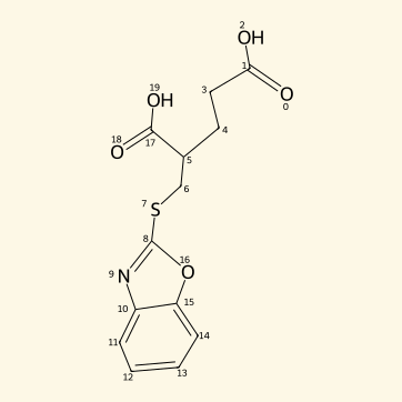 O=C(O)CCC(CSc1nc2ccccc2o1)C(=O)O